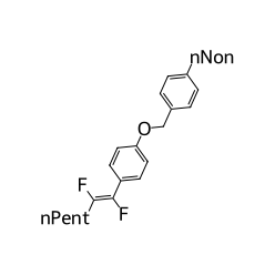 CCCCCCCCCc1ccc(COc2ccc(C(F)=C(F)CCCCC)cc2)cc1